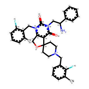 N#Cc1cccc(CN2CCC3(CC2)OCc2c3c(=O)n(CC(N)c3ccccc3)c(=O)n2Cc2c(F)cccc2C(F)(F)F)c1F